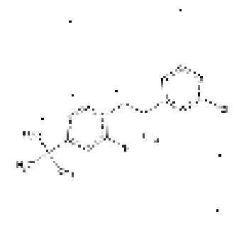 CC(Cc1ccc(C(C)(C)C)cc1F)c1cccc(Cl)c1